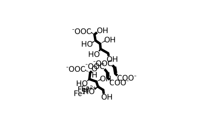 O=C([O-])/C=C/C(=O)[O-].O=C([O-])/C=C/C(=O)[O-].O=C([O-])[C@H](O)[C@@H](O)[C@H](O)[C@H](O)CO.O=C([O-])[C@H](O)[C@@H](O)[C@H](O)[C@H](O)CO.[Fe+2].[Fe+2].[Fe+2]